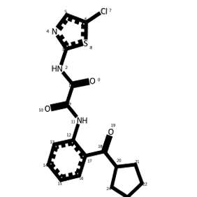 O=C(Nc1ncc(Cl)s1)C(=O)Nc1ccccc1C(=O)C1CCCC1